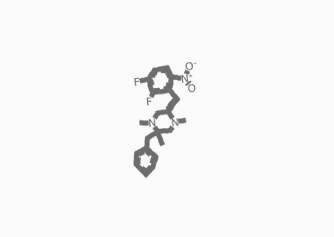 CN1CC(C)(Cc2ccccc2)N(C)CC1=Cc1c([N+](=O)[O-])ccc(F)c1F